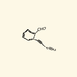 CCCCC#Cc1ccccc1C=O